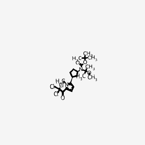 COC(C)(C)N(C(=O)OC(C)(C)C)[C@@H]1CC[C@H](c2ccc(C(=O)C(Cl)(Cl)Cl)n2C)C1